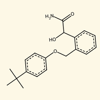 CC(C)(C)c1ccc(OCc2ccccc2C(O)C(N)=O)cc1